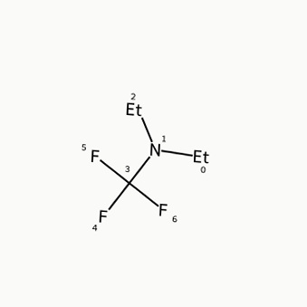 CCN(CC)C(F)(F)F